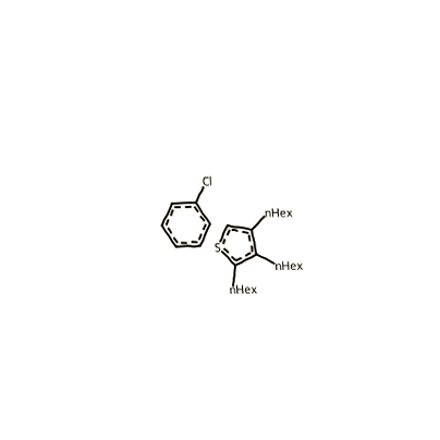 CCCCCCc1csc(CCCCCC)c1CCCCCC.Clc1ccccc1